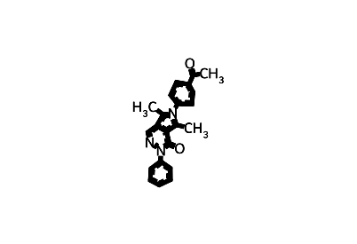 CC(=O)c1ccc(-n2c(C)c3cnn(-c4ccccc4)c(=O)c3c2C)cc1